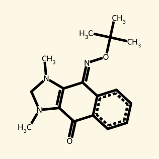 CN1CN(C)C2=C1C(=O)c1ccccc1C2=NOC(C)(C)C